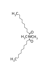 CCCCCCCCCC(=O)[N+](C)(C)C(=O)CCCCCCCCC